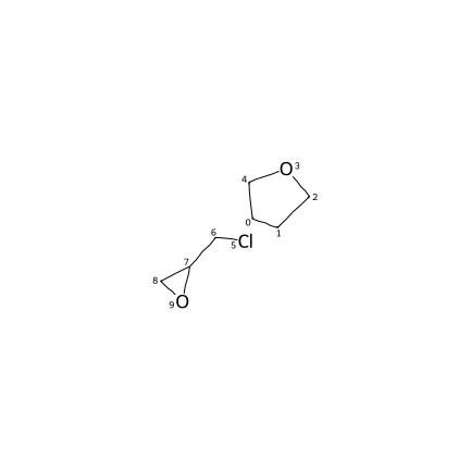 C1CCOC1.ClCC1CO1